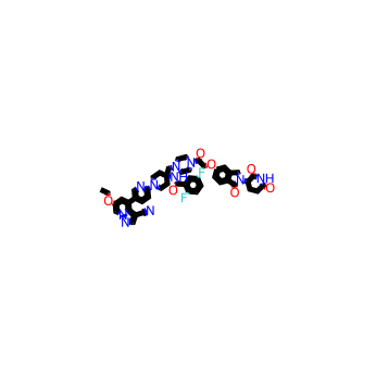 CCOc1cc(-c2ccc(N3CCC(CN4CCN(C(=O)COc5ccc6c(c5)CN(C5CCC(=O)NC5=O)C6=O)CC4)(NC(=O)c4cc(F)ccc4F)CC3)nc2)c2c(C#N)cnn2c1